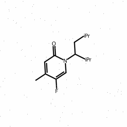 Cc1cc(=O)n(C(CC(C)C)C(C)C)cc1F